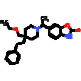 CCOCC1(CCc2ccccc2)CCN(C(C)c2ccc3[nH]c(=O)oc3c2)CC1